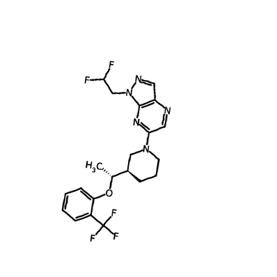 C[C@@H](Oc1ccccc1C(F)(F)F)[C@@H]1CCCN(c2cnc3cnn(CC(F)F)c3n2)C1